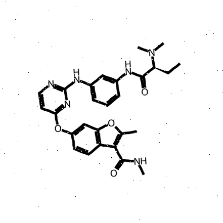 CC[C@@H](C(=O)Nc1cccc(Nc2nccc(Oc3ccc4c(C(=O)NC)c(C)oc4c3)n2)c1)N(C)C